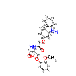 COc1ccccc1OCC(CO)NC(=O)COc1ccc2c(c1)[nH]c1ccccc12